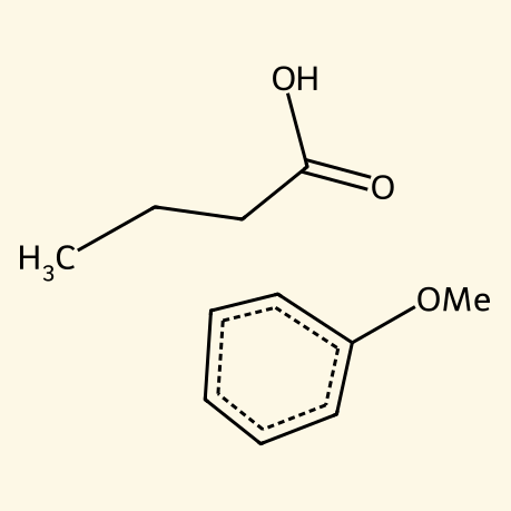 CCCC(=O)O.COc1ccccc1